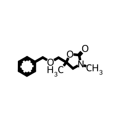 CN1CC(C)(COCc2ccccc2)OC1=O